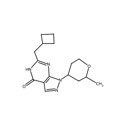 CC1CC(n2ncc3c(=O)[nH]c(CC4CCC4)nc32)CCO1